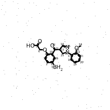 Bc1ccc(OCC(=O)O)c(C(=O)C2C=NN(c3ccccc3OC)C2)c1